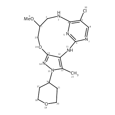 COC1CNc2nc(ncc2Cl)Nc2c(nn(C3CCOCC3)c2C)OC1